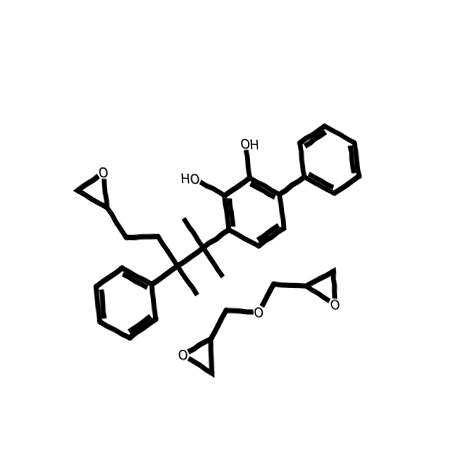 C(OCC1CO1)C1CO1.CC(C)(c1ccc(-c2ccccc2)c(O)c1O)C(C)(CCC1CO1)c1ccccc1